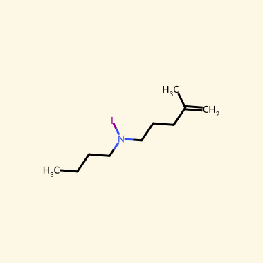 C=C(C)CCCN(I)CCCC